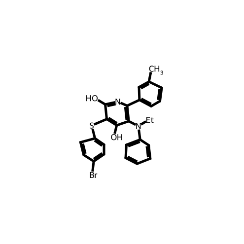 CCN(c1ccccc1)c1c(-c2cccc(C)c2)nc(O)c(Sc2ccc(Br)cc2)c1O